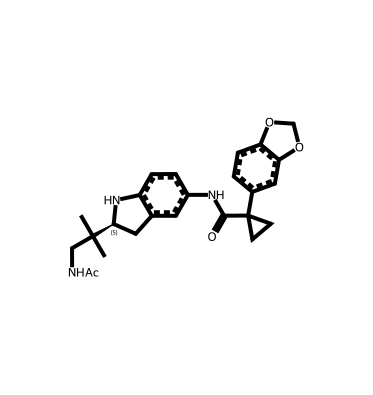 CC(=O)NCC(C)(C)[C@@H]1Cc2cc(NC(=O)C3(c4ccc5c(c4)OCO5)CC3)ccc2N1